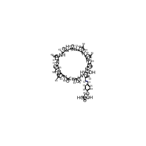 CC[C@@H]1NC(=O)[C@H]([C@H](O)[C@H](C)C/C=C/c2ccc(OCP(=O)(O)O)cc2)N(C)C(=O)[C@H](C(C)C)N(C)C(=O)[C@H](CC(C)C)N(C)C(=O)[C@H](CC(C)C)N(C)C(=O)[C@@H](C)NC(=O)[C@H](C)NC(=O)[C@H](CC(C)C)N(C)C(=O)[C@H](C(C)C)NC(=O)[C@H](CC(C)C)N(C)C(=O)CN(C)C1=O